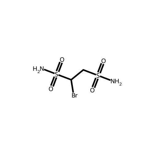 NS(=O)(=O)CC(Br)S(N)(=O)=O